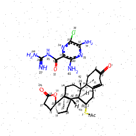 CC(=O)S[C@@H]1CC2=CC(=O)CC[C@]2(C)[C@H]2CC[C@@]3(C)[C@@H](CC[C@@]34CCC(=O)O4)[C@H]12.N=C(N)NC(=O)c1nc(Cl)c(N)nc1N